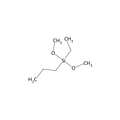 [CH2]CC[Si](CC)(OC)OC